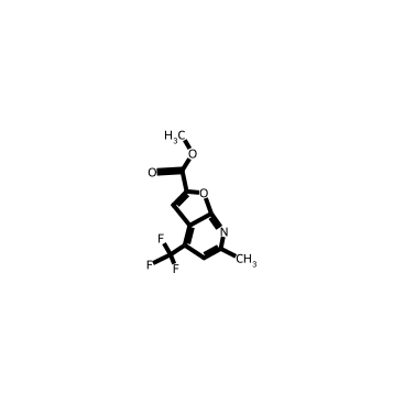 COC(=O)c1cc2c(C(F)(F)F)cc(C)nc2o1